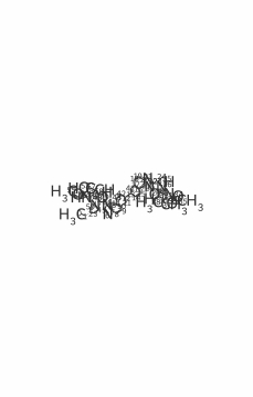 CC[C@H]1C[C@@H](c2nc3ccc4cc(-c5ccc6c(ccc7nc([C@@H]8CCCN8C(=O)C(NC(=O)OC)C(C)C)[nH]c76)c5)ccc4c3[nH]2)N(C(=O)[C@@H](NC(=O)OC)C(C)C)C1